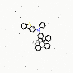 CC1(C)c2ccccc2-c2ccccc2C1(c1ccccc1)c1ccc(N(c2ccccc2)c2ccc3c(c2)sc2ccccc23)cc1